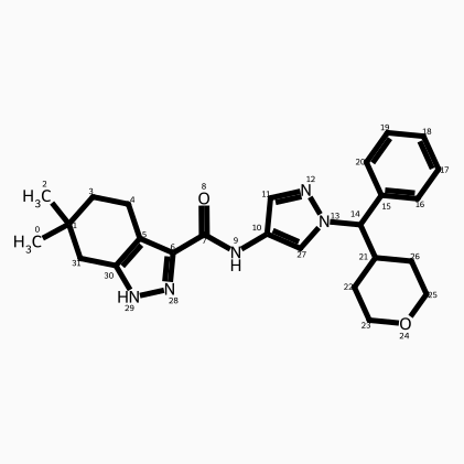 CC1(C)CCc2c(C(=O)Nc3cnn(C(c4ccccc4)C4CCOCC4)c3)n[nH]c2C1